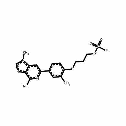 Cc1cc(-c2cc3c(ncn3C)c(C#N)n2)ccc1OCCCOS(C)(=O)=O